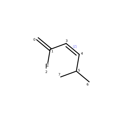 C=C(F)/C=C\C(C)C